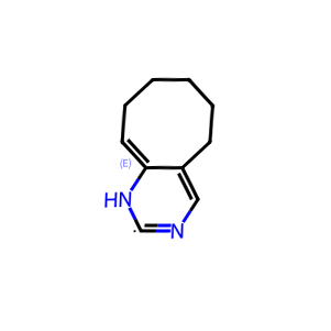 [C]1=NC=C2CCCCC/C=C\2N1